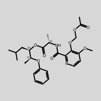 COc1ccnc(C(=O)N[C@@H](C)C(=O)O[C@H](CC(C)C)[C@H](C)Oc2ccccc2)c1OCOC(C)=O